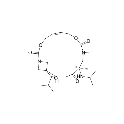 CC(C)N[C@]1(C)CN(C)C(=O)OCC=CCOC(=O)N2CC(C(=O)C(C)C)(C2)NCC1=O